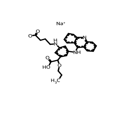 CCCOC(C(=O)O)c1cc(NCCCC(=O)[O-])cc(Nc2c3ccccc3nc3ccccc23)c1.[Na+]